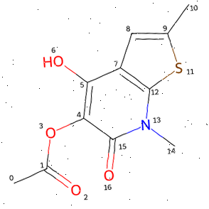 CC(=O)Oc1c(O)c2cc(C)sc2n(C)c1=O